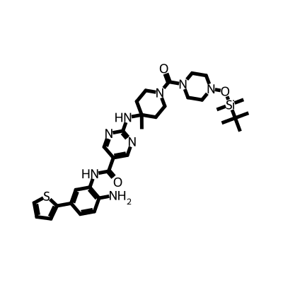 CC1(Nc2ncc(C(=O)Nc3cc(-c4cccs4)ccc3N)cn2)CCN(C(=O)N2CCN(O[Si](C)(C)C(C)(C)C)CC2)CC1